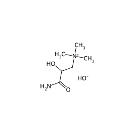 C[N+](C)(C)CC(O)C(N)=O.[OH-]